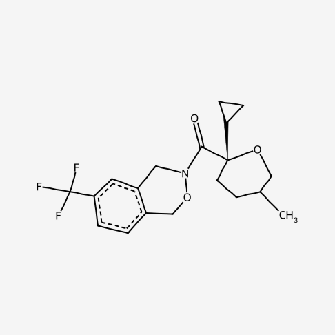 CC1CC[C@@](C(=O)N2Cc3cc(C(F)(F)F)ccc3CO2)(C2CC2)OC1